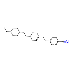 CCC1CCC(CCC2CC=C(CCc3ccc(C#N)cc3)CC2)CC1